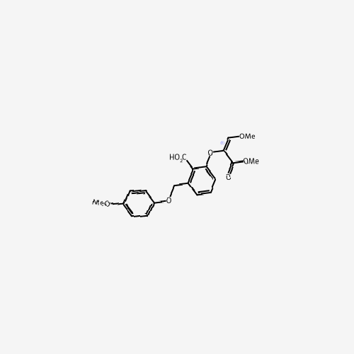 CO/C=C(/Oc1cccc(COc2ccc(OC)cc2)c1C(=O)O)C(=O)OC